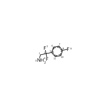 NCC(F)(F)c1ccc(F)cc1